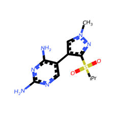 CC(C)S(=O)(=O)c1nn(C)cc1-c1cnc(N)nc1N